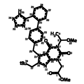 COC(=O)Cn1c(=O)n(C(C)OC)c(=O)c2c1nc(CC(C)(C)C)n2Cc1ccc(-c2ccccc2-c2nnn[nH]2)cc1